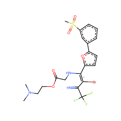 CN(C)CCOC(=O)CN/C(=C(/Br)C(=N)C(F)(F)F)c1ccc(-c2cccc(S(C)(=O)=O)c2)o1